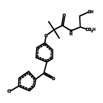 CC(C)(Oc1ccc(C(=O)c2ccc(Cl)cc2)cc1)C(=O)NC(CO)C(=O)O